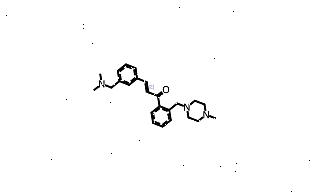 CN(C)Cc1cccc(/C=C/C(=O)c2ccccc2CN2CCN(C)CC2)c1